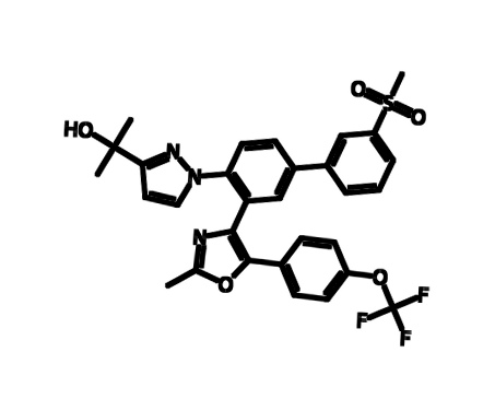 Cc1nc(-c2cc(-c3cccc(S(C)(=O)=O)c3)ccc2-n2ccc(C(C)(C)O)n2)c(-c2ccc(OC(F)(F)F)cc2)o1